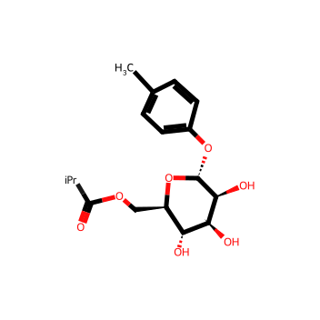 Cc1ccc(O[C@H]2O[C@H](COC(=O)C(C)C)[C@@H](O)[C@H](O)[C@@H]2O)cc1